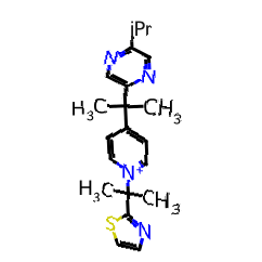 CC(C)c1cnc(C(C)(C)c2cc[n+](C(C)(C)c3nccs3)cc2)cn1